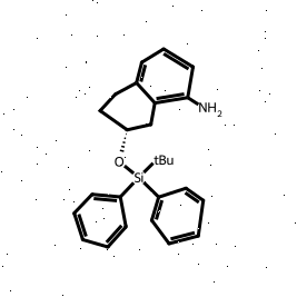 CC(C)(C)[Si](O[C@@H]1CCc2cccc(N)c2C1)(c1ccccc1)c1ccccc1